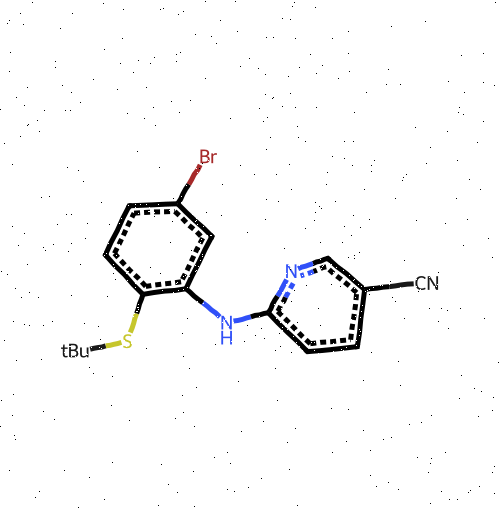 CC(C)(C)Sc1ccc(Br)cc1Nc1ccc(C#N)cn1